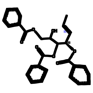 C/C=C/[C@@H](OC(=O)c1ccccc1)C(OC(=O)c1ccccc1)C(O)COC(=O)c1ccccc1